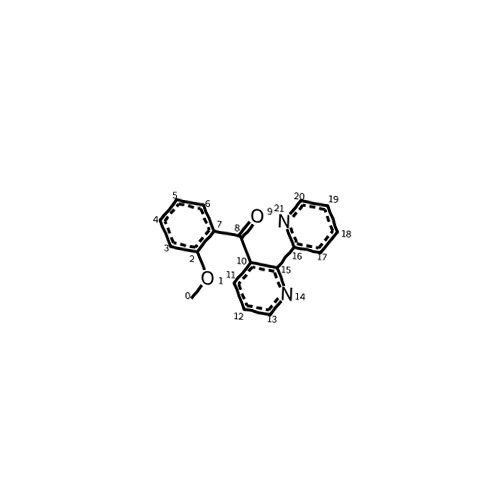 COc1ccccc1C(=O)c1cccnc1-c1ccccn1